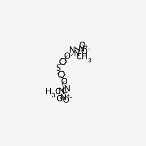 Cn1c([N+](=O)[O-])cnc1COc1ccc(Sc2ccc(OCc3ncc([N+](=O)[O-])n3C)cc2)cc1